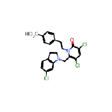 O=C(O)c1ccc(CCn2c(CN3CCc4ccc(Cl)cc43)c(Cl)cc(Cl)c2=O)cc1